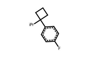 CC(C)C1(c2ccc(F)cc2)CCC1